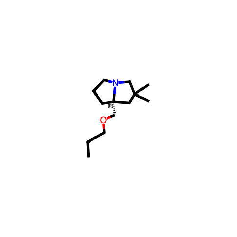 CCCOC[C@]12CCCN1CC(C)(C)C2